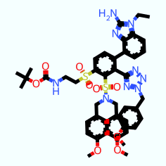 CCn1c(N)nc2c(-c3ccc(S(=O)(=O)CCNC(=O)OC(C)(C)C)c(S(=O)(=O)N(Cc4ccc(OC)cc4)Cc4ccc(OC)cc4)c3-c3nnn(Cc4ccc(OC)cc4)n3)cccc21